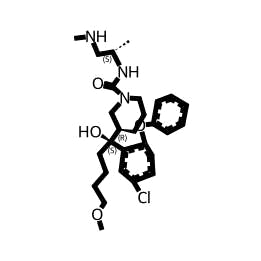 CNC[C@H](C)NC(=O)N1CCC[C@@H]([C@@](O)(CCCCOC)c2cc(Cl)ccc2Oc2ccccc2)C1